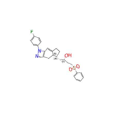 C[C@]12Cc3cnn(-c4ccc(F)cc4)c3C=C1CC[C@@H]2C[C@H](O)CCS(=O)(=O)c1ccccc1